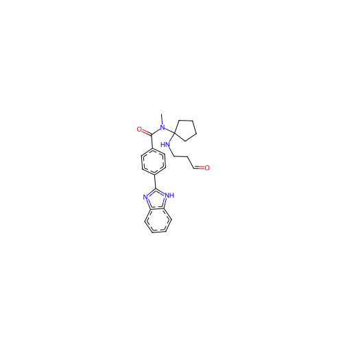 CN(C(=O)c1ccc(-c2nc3ccccc3[nH]2)cc1)C1(NCCC=O)CCCC1